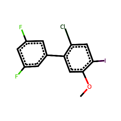 COc1cc(-c2cc(F)cc(F)c2)c(Cl)cc1I